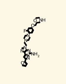 Nc1nc2c(ncn2CCN2CCN(c3ccc(OCC4CNCCO4)cc3F)CC2)c2cc(-c3ccco3)nn12